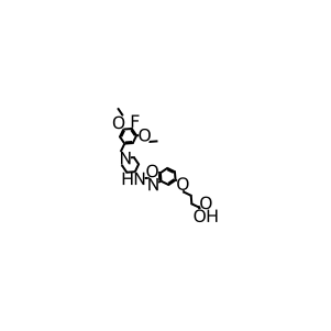 CCOc1cc(CN2CCC(Nc3nc4cc(OCCCC(=O)O)ccc4o3)CC2)cc(OCC)c1F